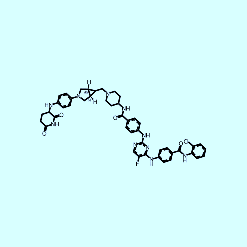 O=C1CCC(Nc2ccc(N3C[C@@H]4C(CN5CCC(NC(=O)c6ccc(Nc7ncc(F)c(Nc8ccc(C(=O)Nc9ccccc9Cl)cc8)n7)cc6)CC5)[C@@H]4C3)cc2)C(=O)N1